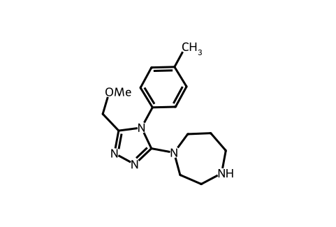 COCc1nnc(N2CCCNCC2)n1-c1ccc(C)cc1